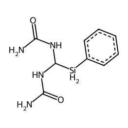 NC(=O)NC(NC(N)=O)[SiH2]c1ccccc1